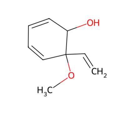 C=CC1(OC)C=CC=CC1O